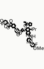 C=CC(=O)N1CCC[C@@H]1c1cc(N2CC([C@@H]3CN(c4ccc5c(c4)C(=O)N(C4CCC(=O)NC4=O)C5=O)CCS3(=O)=O)C2)c2cnc(Nc3ccnc(N4CC[C@@H](OC)[C@@H](F)C4)n3)cc2c1C(C)C